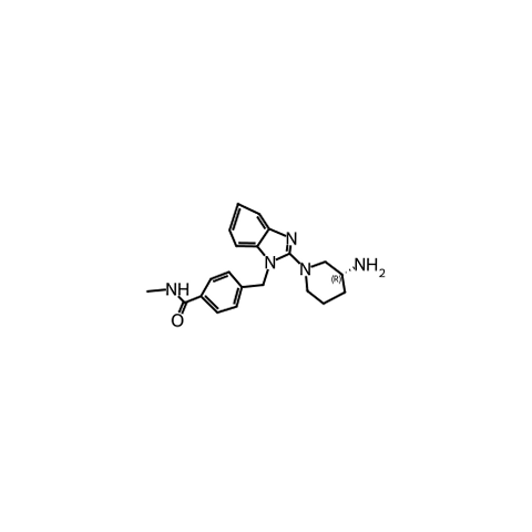 CNC(=O)c1ccc(Cn2c(N3CCC[C@@H](N)C3)nc3ccccc32)cc1